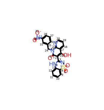 O=c1c(C2=NS(=O)(=O)c3ccccc3N2)c(O)c2cccnc2n1Cc1cccc([N+](=O)[O-])c1